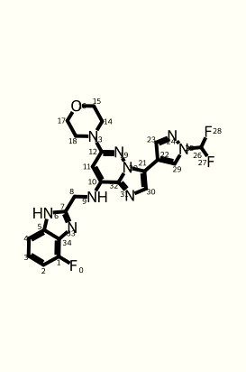 Fc1cccc2[nH]c(CNc3cc(N4CCOCC4)nn4c(-c5cnn(C(F)F)c5)cnc34)nc12